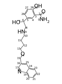 NC(=O)c1cc(C(O)CNCCCCOCc2cnc3ccccc3c2)ccc1O